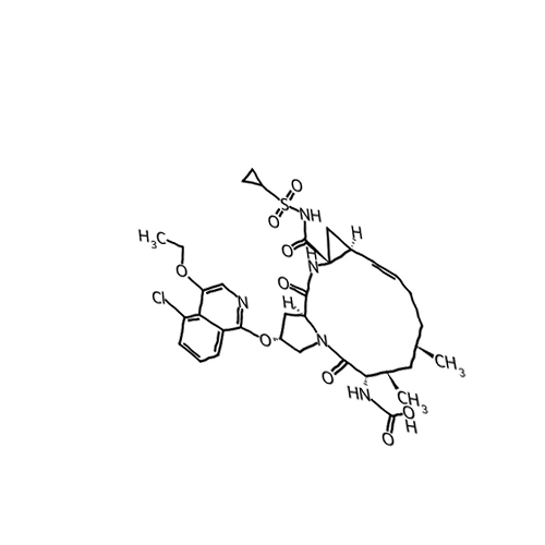 CCOc1cnc(O[C@@H]2C[C@H]3C(=O)N[C@]4(C(=O)NS(=O)(=O)C5CC5)C[C@H]4C=CCC[C@@H](C)C[C@@H](C)[C@H](NC(=O)O)C(=O)N3C2)c2cccc(Cl)c12